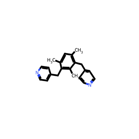 Cc1cc(C)c(Cc2ccncc2)c(C)c1Cc1ccncc1